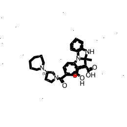 CC1(C(=CC(=O)O)C(=O)O)Nc2ccccc2N1c1ccc(C(=O)N2CC[C@H](N3CCCCCC3)C2)cc1